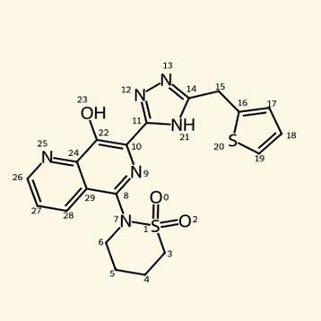 O=S1(=O)CCCCN1c1nc(-c2nnc(Cc3cccs3)[nH]2)c(O)c2ncccc12